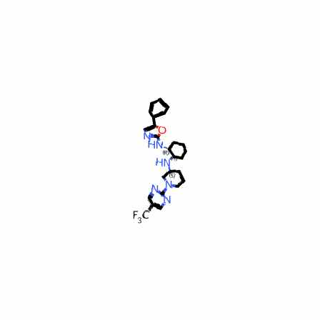 FC(F)(F)c1cnc(N2CCC[C@H](N[C@@H]3CCCC[C@H]3Nc3ncc(-c4ccccc4)o3)C2)nc1